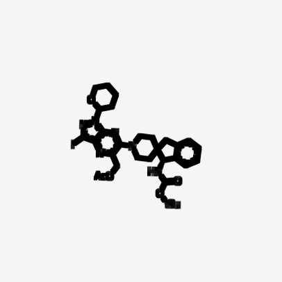 CC(=O)OCc1nc2c(I)nn(C3CCCCO3)c2nc1N1CCC2(CC1)Cc1ccccc1[C@H]2NC(=O)OC(C)(C)C